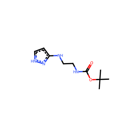 CC(C)(C)OC(=O)NCCNc1cc[nH]n1